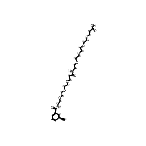 C#Cc1cccc(C(=O)NCCOCCOCCOCCC(=O)NCCOCCOCCOCCOCCC(=O)O)c1